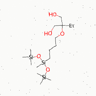 CCC(CO)(CO)OCCCC[Si](C)(O[Si](C)(C)C)O[Si](C)(C)C